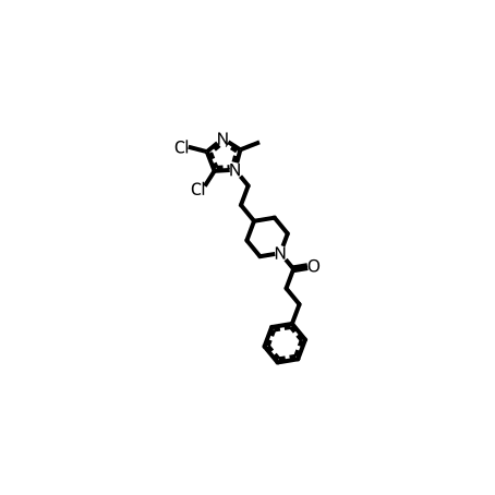 Cc1nc(Cl)c(Cl)n1CCC1CCN(C(=O)CCc2ccccc2)CC1